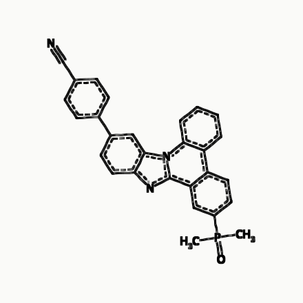 CP(C)(=O)c1ccc2c3ccccc3n3c4cc(-c5ccc(C#N)cc5)ccc4nc3c2c1